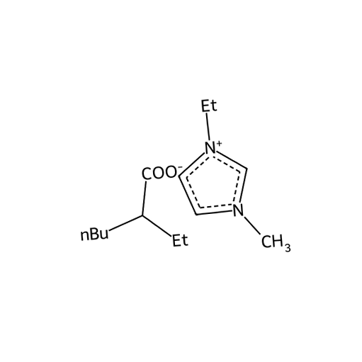 CCCCC(CC)C(=O)[O-].CC[n+]1ccn(C)c1